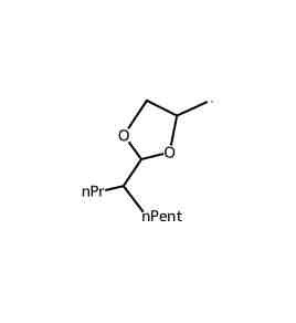 [CH2]C1COC(C(CCC)CCCCC)O1